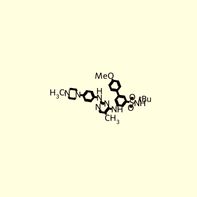 COc1ccc(-c2cc(Nc3nc(Nc4ccc(N5CCN(C)CC5)cc4)ncc3C)cc(S(=O)(=O)NC(C)(C)C)c2)cc1